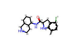 Cc1ccc(F)c2c1NC(C(=O)NC1CCCC3CNCCC31)C2